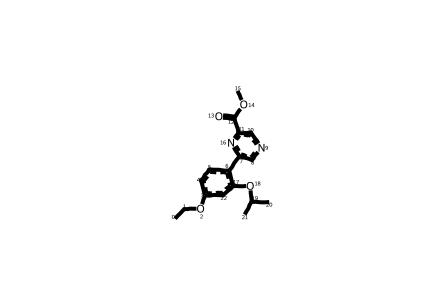 CCOc1ccc(-c2cncc(C(=O)OC)n2)c(OC(C)C)c1